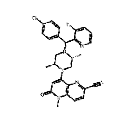 C[C@@H]1CN(c2cc(=O)n(C)c3ccc(C#N)nc23)[C@@H](C)CN1C(c1ccc(Cl)cc1)c1ncccc1F